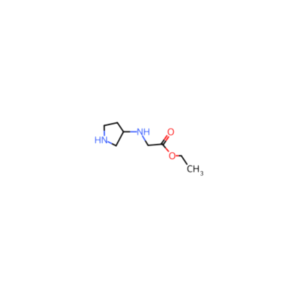 CCOC(=O)CNC1CCNC1